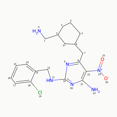 NCC1CCCC(Cc2nc(NCc3ccccc3Cl)nc(N)c2[N+](=O)[O-])C1